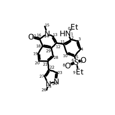 CCNc1ccc(S(=O)(=O)CC)cc1-c1cn(C)c(=O)c2ccc(-c3cnn(C)c3)cc12